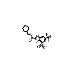 O=C(NCC1CCCCC1)c1nc2cc(C(F)(F)F)cc([N+](=O)[O-])c2s1